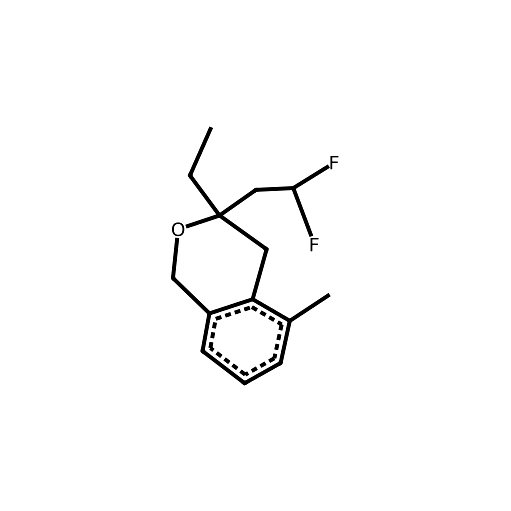 CCC1(CC(F)F)Cc2c(C)cccc2CO1